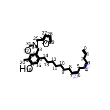 C=CC/C=C\C/C=C\CCCCCCCc1cc(O)c(C)c2c1CN(Cc1ccco1)CO2